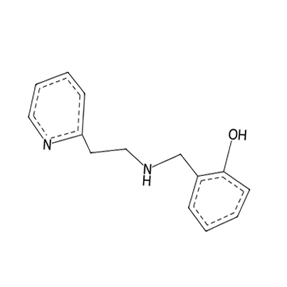 Oc1ccccc1CNCCc1ccccn1